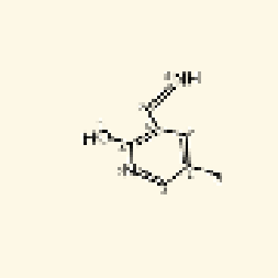 Cc1cnc(O)c(C=N)c1